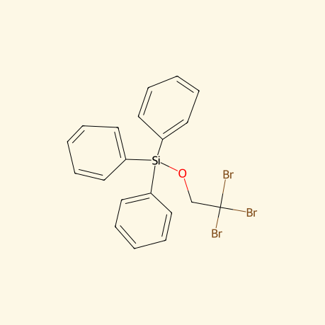 BrC(Br)(Br)CO[Si](c1ccccc1)(c1ccccc1)c1ccccc1